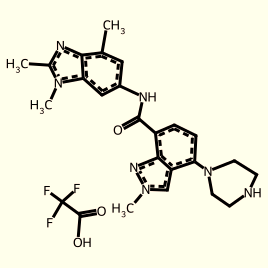 Cc1cc(NC(=O)c2ccc(N3CCNCC3)c3cn(C)nc23)cc2c1nc(C)n2C.O=C(O)C(F)(F)F